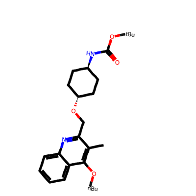 CCCCOc1c(C)c(CO[C@H]2CC[C@H](NC(=O)OC(C)(C)C)CC2)nc2ccccc12